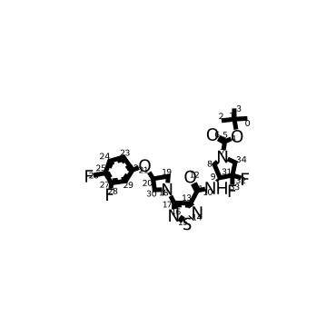 CC(C)(C)OC(=O)N1C[C@H](NC(=O)c2nsnc2N2CC(Oc3ccc(F)c(F)c3)C2)C(F)(F)C1